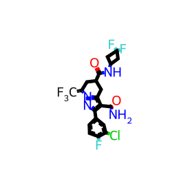 NC(=O)c1c(-c2ccc(F)c(Cl)c2)nn2c1CC(C(=O)NC1CC(F)(F)C1)CC2C(F)(F)F